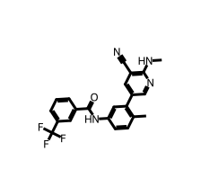 CNc1ncc(-c2cc(NC(=O)c3cccc(C(F)(F)F)c3)ccc2C)cc1C#N